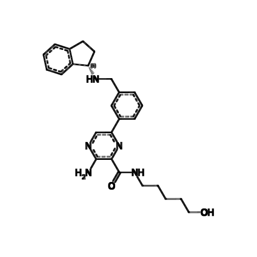 Nc1ncc(-c2cccc(CN[C@H]3CCc4ccccc43)c2)nc1C(=O)NCCCCCO